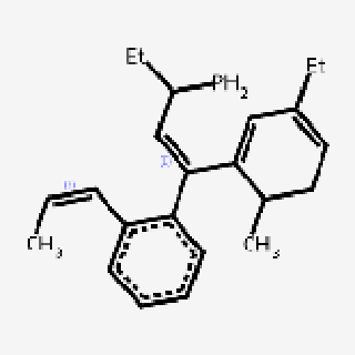 C/C=C\c1ccccc1/C(=C/C(P)CC)C1=CC(CC)=CCC1C